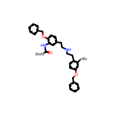 CCCCc1cc(OCc2ccccc2)ccc1CCNCCc1ccc(OCc2ccccc2)c(NC(=O)NC)c1